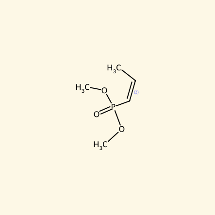 C/C=C\P(=O)(OC)OC